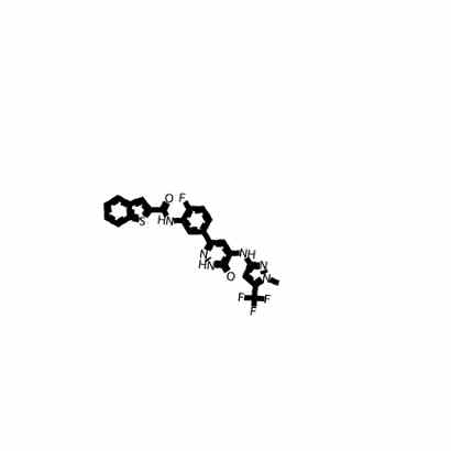 Cn1nc(Nc2cc(-c3ccc(F)c(NC(=O)c4cc5ccccc5s4)c3)n[nH]c2=O)cc1C(F)(F)F